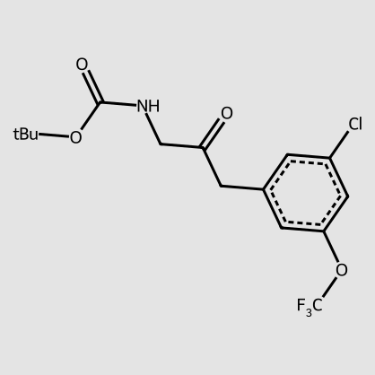 CC(C)(C)OC(=O)NCC(=O)Cc1cc(Cl)cc(OC(F)(F)F)c1